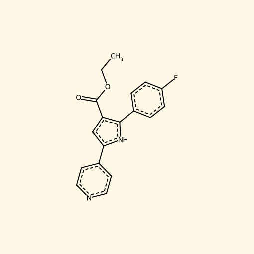 CCOC(=O)c1cc(-c2ccncc2)[nH]c1-c1ccc(F)cc1